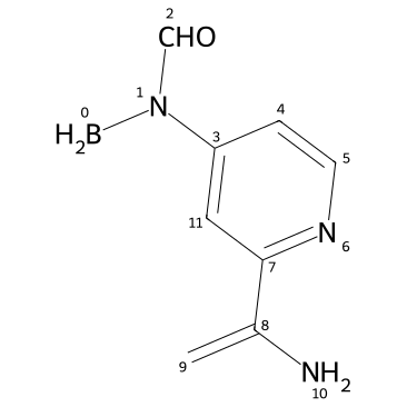 BN(C=O)c1ccnc(C(=C)N)c1